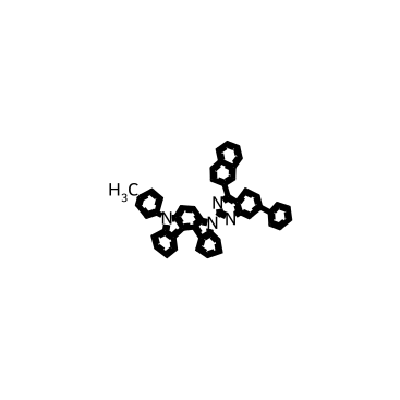 Cc1ccc(-n2c3ccccc3c3c4c5ccccc5n(-c5nc(-c6ccc7ccccc7c6)c6ccc(-c7ccccc7)cc6n5)c4ccc32)cc1